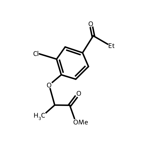 CCC(=O)c1ccc(OC(C)C(=O)OC)c(Cl)c1